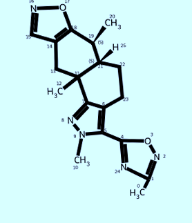 Cc1noc(-c2c3c(nn2C)C2(C)Cc4cnoc4[C@@H](C)[C@@H]2CC3)n1